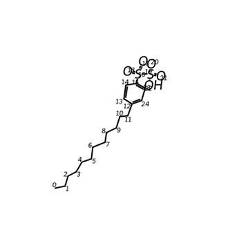 CCCCCCCCCCCCc1ccc(S(=O)(=O)S(=O)(=O)O)cc1